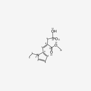 CCn1cccc1C=C(CC(=O)O)C(=O)OC